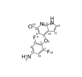 Nc1cc(F)c(Oc2cc(Cl)nc3[nH]ccc23)c(F)c1